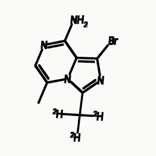 [2H]C([2H])([2H])c1nc(Br)c2c(N)ncc(C)n12